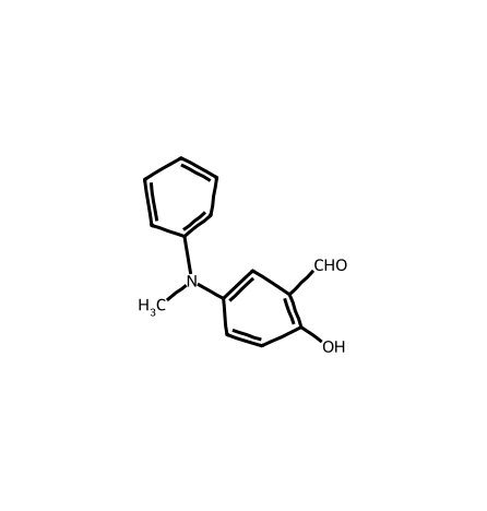 CN(c1ccccc1)c1ccc(O)c(C=O)c1